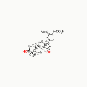 COC(CCC(=O)O)C[C@@H](C)[C@H]1C[C@H](O)[C@@]2(C)C3CC[C@H]4C(C)(C)C(O)CCC45CC35CCC12C